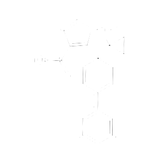 CCOC(=O)C1(C2(c3sccc3C(N)=O)C=CC(c3ccccc3)=CC2)CC1